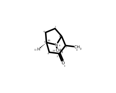 CC1C(=O)C[C@H]2CCC1N2C